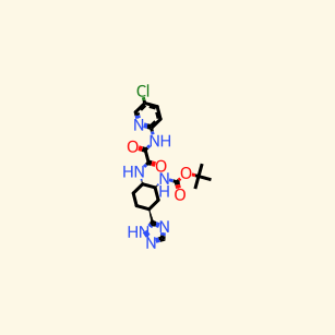 CC(C)(C)OC(=O)N[C@@H]1C[C@@H](c2ncn[nH]2)CC[C@@H]1NC(=O)C(=O)Nc1ccc(Cl)cn1